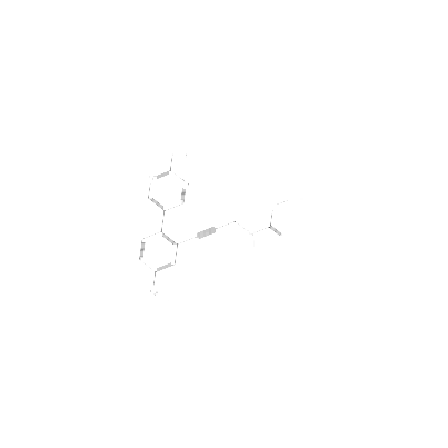 CC(C)(C)OC(=O)NCC#Cc1cc([N+](=O)[O-])ccc1-c1cnc(C(F)(F)F)nc1